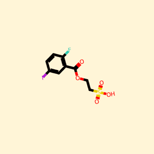 O=C(OCCS(=O)(=O)O)c1cc(I)ccc1F